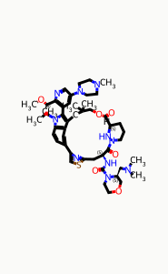 CCn1c(-c2cc(N3CCN(C)CC3)cnc2[C@H](C)OC)c2c3cc(ccc31)-c1csc(n1)C[C@H](NC(=O)N1CCOC[C@@H]1CN(C)C)C(=O)N1CCC[C@H](N1)C(=O)OCC(C)(C)C2